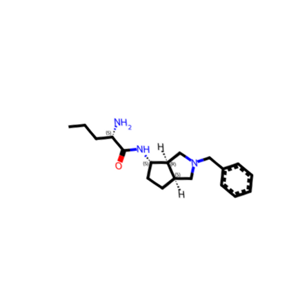 CCC[C@H](N)C(=O)N[C@H]1CC[C@@H]2CN(Cc3ccccc3)C[C@@H]21